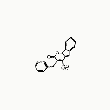 O=C1OC2C(=Cc3ccccc32)C(O)=C1Cc1ccccc1